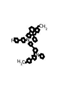 C=Cc1ccc(CC2(c3ccccc3)c3ccccc3-c3ccc(N(c4ccc(-c5ccc(F)cc5)cc4)c4ccc(-c5ccc6c(c5)c5cc(-c7ccc(C=C)cc7)ccc5n6-c5ccccc5)cc4)cc32)cc1